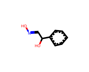 O/N=C/C(O)c1ccccc1